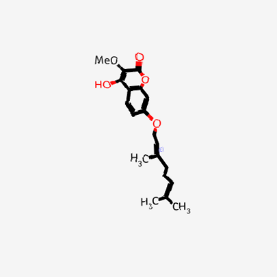 COc1c(O)c2ccc(OC/C=C(\C)CCC=C(C)C)cc2oc1=O